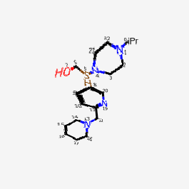 CC(C)N1CCN([SH](CO)c2ccc(CN3CCCCC3)nc2)CC1